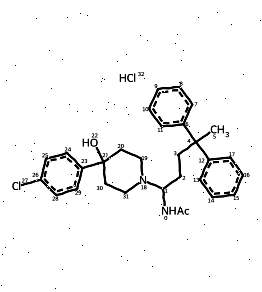 CC(=O)NC(CCC(C)(c1ccccc1)c1ccccc1)N1CCC(O)(c2ccc(Cl)cc2)CC1.Cl